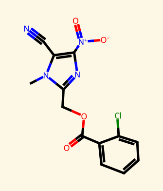 Cn1c(COC(=O)c2ccccc2Cl)nc([N+](=O)[O-])c1C#N